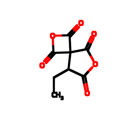 CCC1C(=O)OC(=O)C12C(=O)OC2=O